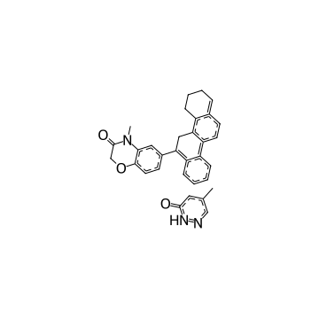 CN1C(=O)COc2ccc(C3=c4ccccc4=c4ccc5c(c4C3)CCCC=5)cc21.Cc1cn[nH]c(=O)c1